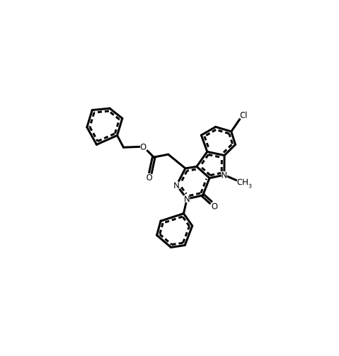 Cn1c2cc(Cl)ccc2c2c(CC(=O)OCc3ccccc3)nn(-c3ccccc3)c(=O)c21